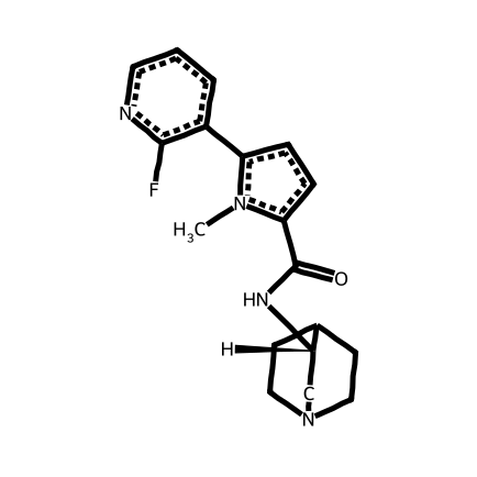 Cn1c(C(=O)N[C@H]2CN3CCC2CC3)ccc1-c1cccnc1F